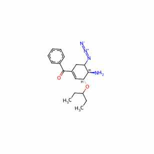 CCC(CC)O[C@@H]1C=C(C(=O)c2ccccc2)CC(N=[N+]=[N-])[C@H]1N